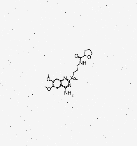 COc1cc2nc([As](C)CCCNC(=O)C3CCCO3)nc(N)c2cc1OC